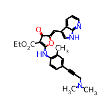 CCOC(=O)C1=C(Nc2ccc(C#CCN(C)C)cc2C)O/C(=C\c2c[nH]c3ncccc23)C1=O